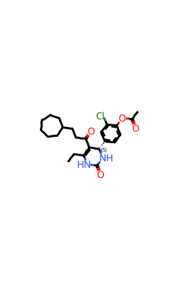 CCC1=C(C(=O)CCC2CCCCCC2)[C@H](c2ccc(OC(C)=O)c(Cl)c2)NC(=O)N1